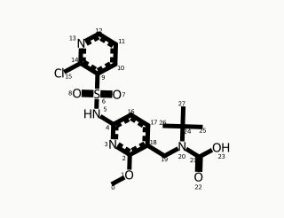 COc1nc(NS(=O)(=O)c2cccnc2Cl)ccc1CN(C(=O)O)C(C)(C)C